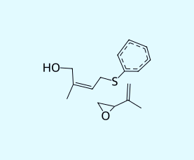 C=C(C)C1CO1.CC(=CCSc1ccccc1)CO